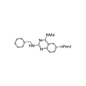 CCCCCc1ccc2nc(NCc3ccccc3)nc(NC)c2c1